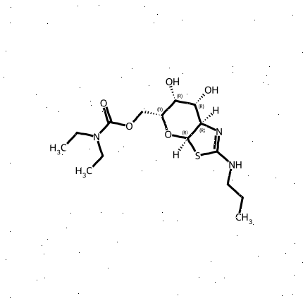 CCCNC1=N[C@@H]2[C@@H](O)[C@@H](O)[C@@H](COC(=O)N(CC)CC)O[C@@H]2S1